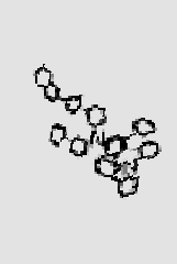 c1ccc(-c2cccc(N(c3cccc(-c4ccc(-c5ccc6ccccc6c5)cc4)c3)c3ccc(-c4ccccc4-n4c5ccccc5c5ccccc54)c(-c4ccccc4)c3)c2)cc1